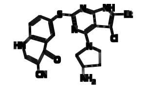 CCc1[nH]c2nc(Sc3ccc4[nH]cc(C#N)c(=O)c4c3)nc(N3CCC(N)C3)c2c1Cl